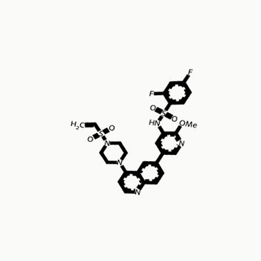 C=CS(=O)(=O)N1CCN(c2ccnc3ccc(-c4cnc(OC)c(NS(=O)(=O)c5ccc(F)cc5F)c4)cc23)CC1